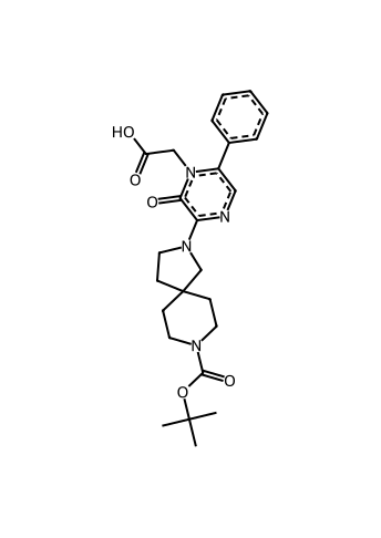 CC(C)(C)OC(=O)N1CCC2(CC1)CCN(c1ncc(-c3ccccc3)n(CC(=O)O)c1=O)C2